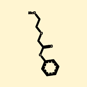 COCCOCC(=O)Oc1ccccc1